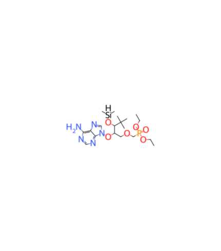 CCOP(=O)(COCC(On1cnc2c(N)ncnc21)C(O[SiH](C)C)C(C)(C)C)OCC